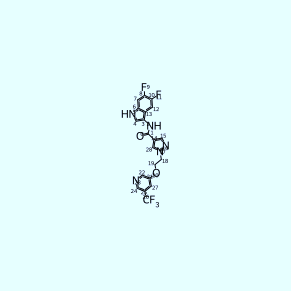 O=C(Nc1c[nH]c2cc(F)c(F)cc12)c1cnn(CCOc2cncc(C(F)(F)F)c2)c1